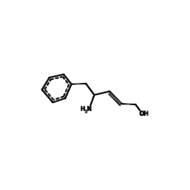 NC(C=CCO)Cc1ccccc1